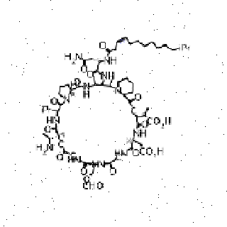 CC(C)CCCCCCC/C=C\CC(=O)N[C@@H](CC(N)=O)C(=O)NC1C(C)NC(=O)[C@@H]2CCCN2C(=O)C(C(C)C)NC(=O)[C@@H](C(C)N)CC(=O)CNC(=O)C(COC=O)NC(=O)CNC(=O)[C@H](CC(=O)O)NC(=O)C([C@@H](C)C(=O)O)CC(=O)C2CCCCN2C1C